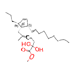 CCCCCCCC=C[C@H]1C=C[C@H](CCC)[C@H]1CC(C)=C=CCC(O)(O)C(=O)OC